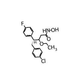 CCOC(CC(=O)NO)[C@H](Cc1ccc(Cl)cc1)c1ccc(F)cc1